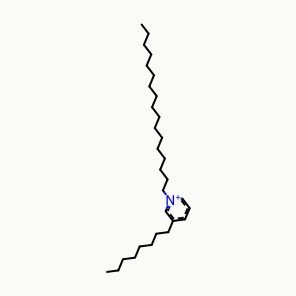 CCCCCCCCCCCCCCCCC[n+]1cccc(CCCCCCCC)c1